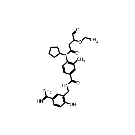 CCOC(C=O)CC(=O)N(c1ccc(C(=O)NCc2cc(C(=N)N)ccc2O)cc1C)C1CCCC1